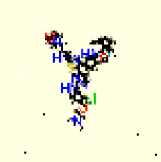 CN(C)CCOc1ccc(Nc2nccc(-c3sc(NCCCN4CCOCC4)nc3-c3cccc(NC(=O)c4c(F)cccc4F)c3)n2)cc1Cl